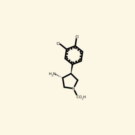 N[C@H]1CN(C(=O)O)C[C@@H]1c1ccc(Cl)c(Cl)c1